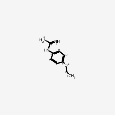 CCOc1ccc(NC(=N)N)cc1